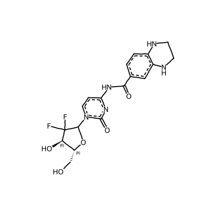 O=C(Nc1ccn(C2O[C@H](CO)[C@@H](O)C2(F)F)c(=O)n1)c1ccc2c(c1)NCCN2